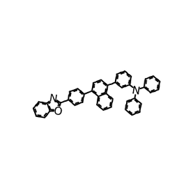 c1ccc(N(c2ccccc2)c2cccc(-c3ccc(-c4ccc(-c5nc6ccccc6o5)cc4)c4ccccc34)c2)cc1